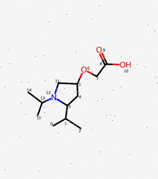 CC(C)C1CC(OCC(=O)O)CN1C(C)C